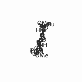 CC[C@@H](C)[CH]C(=O)N1C[C@@H](COC)C[C@H]1c1ncc(-c2ccc3c(c2)COc2cc4c(ccc5nc([C@@H]6CC[C@H](C)N6C(=O)[C@@H](NC(=O)OC)C(C)C)[nH]c54)cc2-3)[nH]1